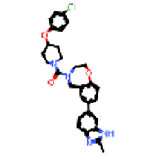 Cc1nc2ccc(-c3ccc4c(c3)CN(C(=O)N3CCC(Oc5ccc(Cl)cc5)CC3)CCO4)cc2[nH]1